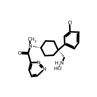 CN(C(=O)c1cccnn1)[C@H]1CC[C@](CN)(c2cccc(Cl)c2)CC1.Cl